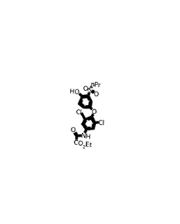 CCCS(=O)(=O)c1cc(Oc2c(Cl)cc(NC(=O)C(=O)OCC)cc2Cl)ccc1O